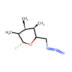 CC1[C@@H](C)[C@@H](C)C(CN=[N+]=[N-])O[C@@H]1F